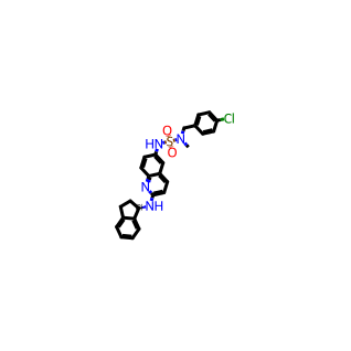 CN(Cc1ccc(Cl)cc1)S(=O)(=O)Nc1ccc2nc(N[C@@H]3CCc4ccccc43)ccc2c1